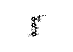 CNc1ncnc(-c2cccnc2Oc2cccc(C(=O)NCc3cc(C(F)(F)F)ccc3Cl)c2)n1